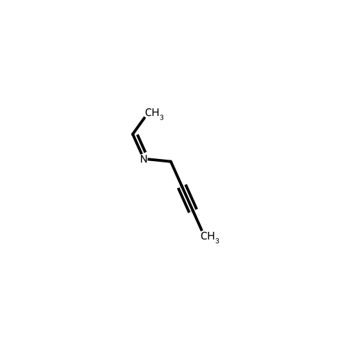 CC#CC/N=C\C